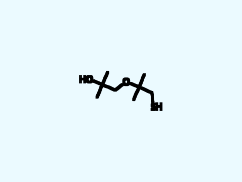 CC(C)(O)COC(C)(C)CS